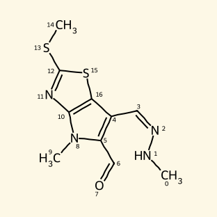 CN/N=C\c1c(C=O)n(C)c2nc(SC)sc12